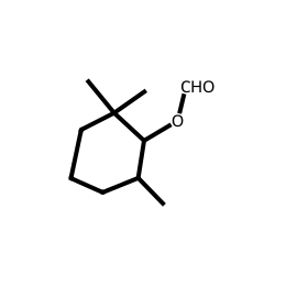 CC1CCCC(C)(C)C1OC=O